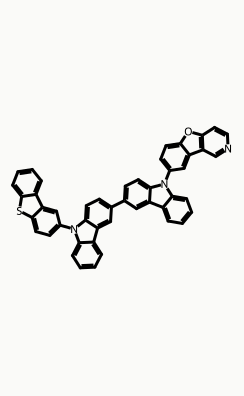 c1ccc2c(c1)sc1ccc(-n3c4ccccc4c4cc(-c5ccc6c(c5)c5ccccc5n6-c5ccc6oc7ccncc7c6c5)ccc43)cc12